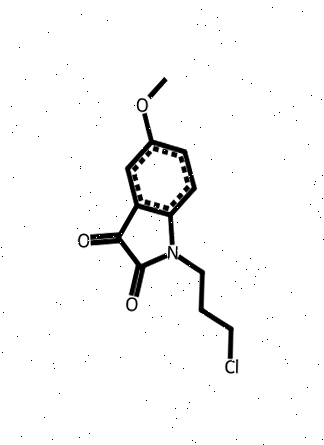 COc1ccc2c(c1)C(=O)C(=O)N2CCCCl